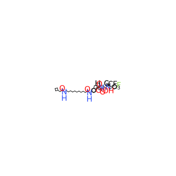 C[C@H](N(Cc1ccc(F)cc1)C(O)CN1C(=O)O[C@@]2(CCc3cc(NC(=O)CCCCCCCCCCNC(=O)CC4CCC4)ccc32)C1=O)C(F)(F)F